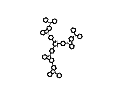 c1ccc(N(c2ccccc2)c2ccc3c(c2)c2ccccc2n3-c2ccc(-c3cc(-c4ccc(-n5c6ccccc6c6cc(-c7ccc8c(c7)c7ccccc7n8-c7ccccc7)ccc65)cc4)nc(-c4ccc(-n5c6ccccc6c6cc(N(c7ccccc7)c7ccccc7)ccc65)cc4)n3)cc2)cc1